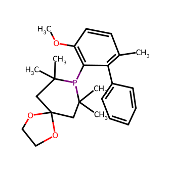 COc1ccc(C)c(-c2ccccc2)c1P1C(C)(C)CC2(CC1(C)C)OCCO2